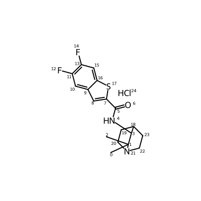 CC1(C)C(NC(=O)c2cc3cc(F)c(F)cc3s2)C2CCN1CC2.Cl